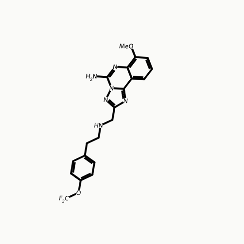 COc1cccc2c1nc(N)n1nc(CNCCc3ccc(OC(F)(F)F)cc3)nc21